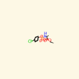 CCOC(=O)C(C)NP(=O)(O)Oc1ccc(Cl)cc1